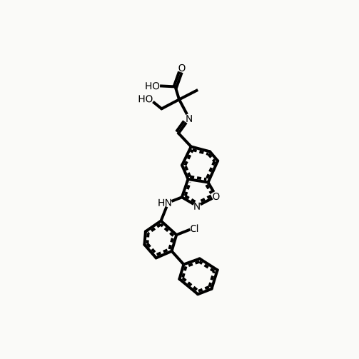 CC(CO)(N=Cc1ccc2onc(Nc3cccc(-c4ccccc4)c3Cl)c2c1)C(=O)O